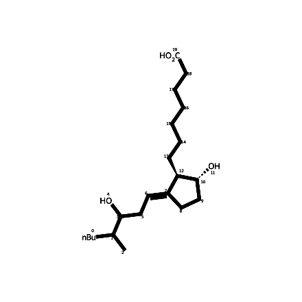 CCCCC(C)C(O)CC=C1CC[C@@H](O)[C@@H]1CCCCCCC(=O)O